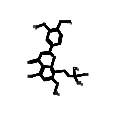 COc1ccc(-c2cc(=O)c3c(O)cc(OC)c(CCC(C)(C)O)c3o2)cc1OC